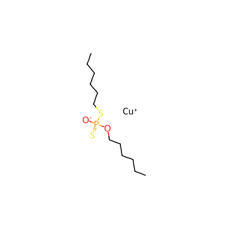 CCCCCCOP([O-])(=S)SCCCCCC.[Cu+]